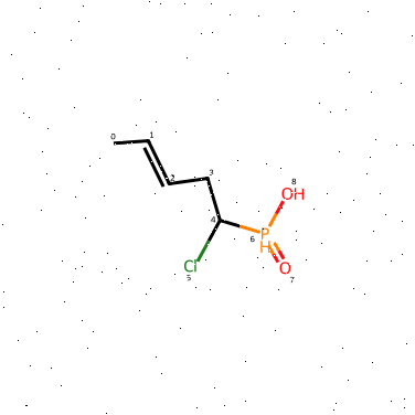 C/C=C/CC(Cl)[PH](=O)O